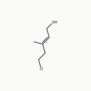 C/C(=C\CO)CCCl